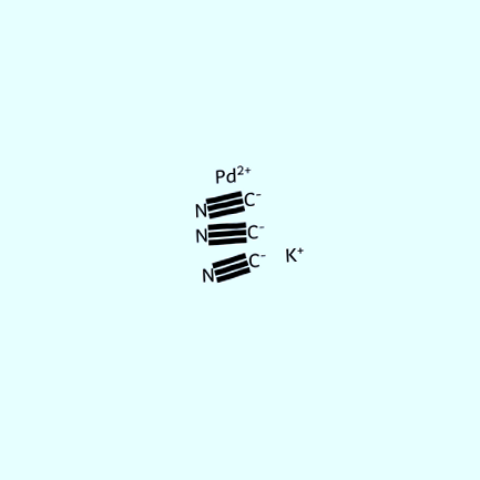 [C-]#N.[C-]#N.[C-]#N.[K+].[Pd+2]